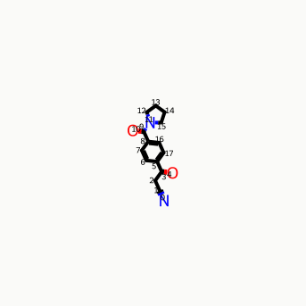 N#CCC(=O)c1ccc(C(=O)N2CCCC2)cc1